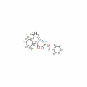 C=CCC(NC(=O)OCc1ccccc1)C(=O)c1cc(F)ccc1F